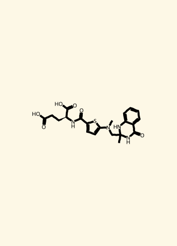 CN(CC1(C)NC(=O)c2ccccc2N1)c1ccc(C(=O)N[C@@H](CCC(=O)O)C(=O)O)s1